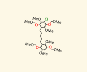 COCOc1cc(OC)c(OCOC)c(CCCCCc2c(OC)c(OCOC)c(Cl)c(OC)c2OCOC)c1OC